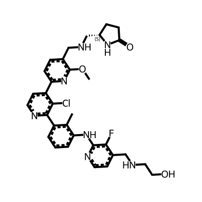 COc1nc(-c2ccnc(-c3cccc(Nc4nccc(CNCCO)c4F)c3C)c2Cl)ccc1CNC[C@@H]1CCC(=O)N1